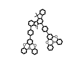 Cn1c2c(-c3ccc(-c4cc5c6c(c4)Oc4ccccc4B6c4ccccc4O5)cc3)cccc2c2c3c(cc(-c4ccc(-c5cc6c7c(c5)Oc5ccccc5B7c5ccccc5O6)cc4)c21)-c1ccccc1C3(C)C